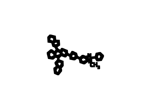 Cn1c(-c2ccccc2)nc2cc(-c3ccc(-c4ccc5c(-c6ccc7ccccc7c6)c6ccccc6c(-c6ccc7ccccc7c6)c5c4)cc3)ccc21